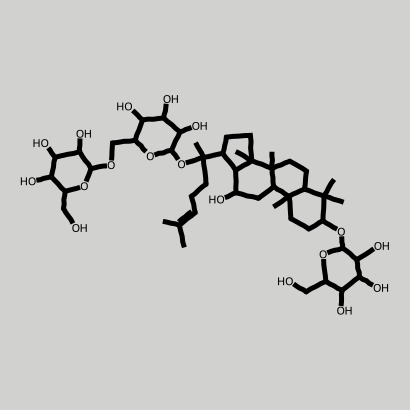 CC(C)=CCCC(C)(OC1OC(COC2OC(CO)C(O)C(O)C2O)C(O)C(O)C1O)C1CCC2(C)C1C(O)CC1C3(C)CCC(OC4OC(CO)C(O)C(O)C4O)C(C)(C)C3CCC12C